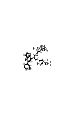 C[Si](C)(C)CCOCN(COCC[Si](C)(C)C)c1cc(C2CCCNC2)nc2ccnn12